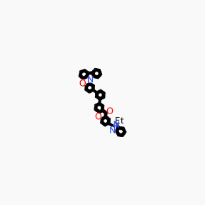 CCn1c(-c2ccc3oc4ccc(-c5cccc(-c6ccc7c(c6)-n6c8ccccc8c8cccc(c86)O7)c5)cc4c(=O)c3c2)nc2ccccc21